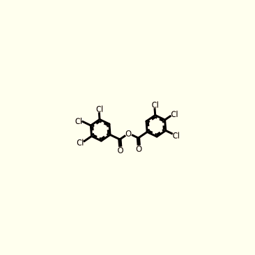 O=C(OC(=O)c1cc(Cl)c(Cl)c(Cl)c1)c1cc(Cl)c(Cl)c(Cl)c1